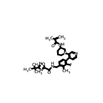 C=C(C)C(=O)NC1CCCN(c2cnccc2-c2ccc(CNC(=O)c3nc(C(C)(C)C)no3)c(C)c2F)C1